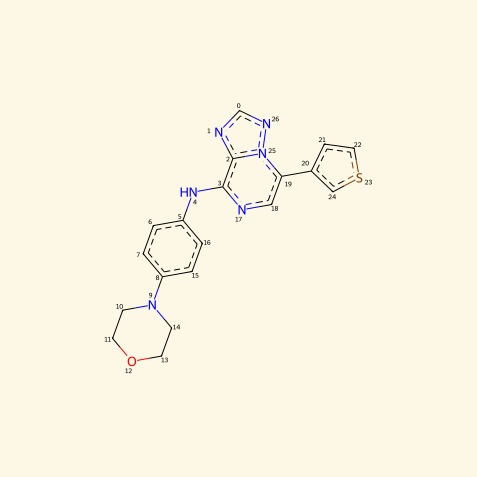 c1nc2c(Nc3ccc(N4CCOCC4)cc3)ncc(-c3ccsc3)n2n1